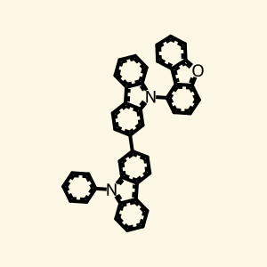 c1ccc(-n2c3ccccc3c3ccc(-c4ccc5c6ccccc6n(-c6cccc7oc8ccccc8c67)c5c4)cc32)cc1